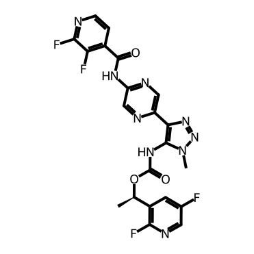 C[C@@H](OC(=O)Nc1c(-c2cnc(NC(=O)c3ccnc(F)c3F)cn2)nnn1C)c1cc(F)cnc1F